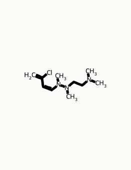 C=C(Cl)/C=C\N(C)N(C)CCN(C)C